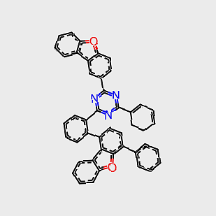 C1=CCCC(c2nc(-c3ccc4oc5ccccc5c4c3)nc(-c3ccccc3-c3ccc(-c4ccccc4)c4oc5ccccc5c34)n2)=C1